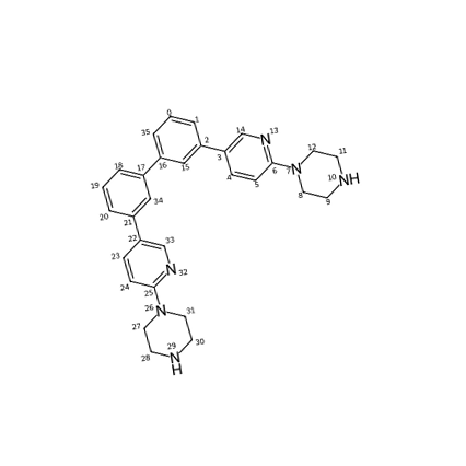 c1cc(-c2ccc(N3CCNCC3)nc2)cc(-c2cccc(-c3ccc(N4CCNCC4)nc3)c2)c1